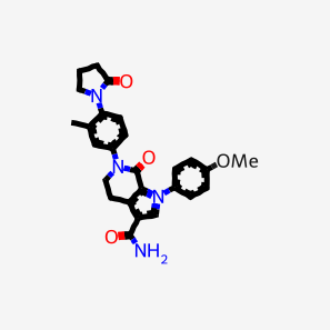 COc1ccc(-n2cc(C(N)=O)c3c2C(=O)N(c2ccc(N4CCCC4=O)c(C)c2)CC3)cc1